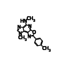 CNc1nc2oc(-c3ccc(C)cc3)nc2c2c1ncn2C